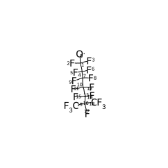 [O]C(F)(F)C(F)(F)C(F)(F)C(F)(F)C(F)(F)C(F)(C(F)(F)F)C(F)(F)F